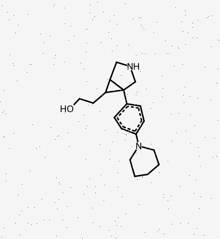 OCCC1C2CNCC12c1ccc(N2CCCCC2)cc1